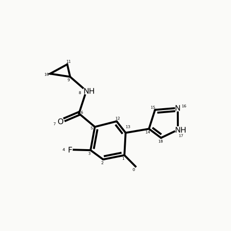 Cc1cc(F)c(C(=O)NC2CC2)cc1-c1cn[nH]c1